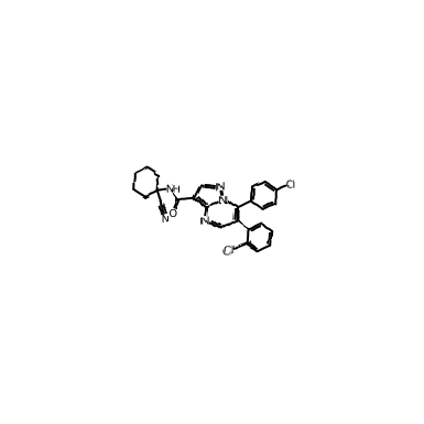 N#CC1(NC(=O)c2cnn3c(-c4ccc(Cl)cc4)c(-c4ccccc4Cl)cnc23)CCCCC1